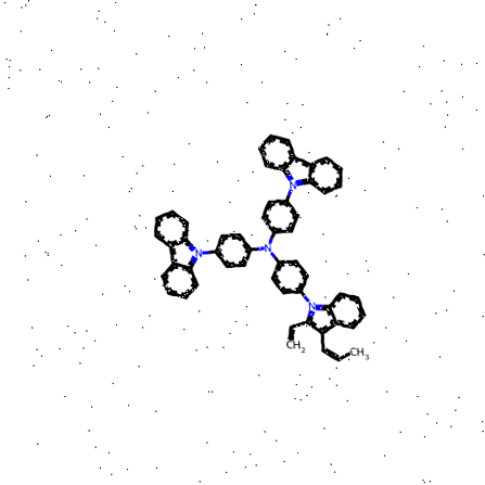 C=Cc1c(/C=C\C)c2ccccc2n1-c1ccc(N(c2ccc(-n3c4ccccc4c4ccccc43)cc2)c2ccc(-n3c4ccccc4c4ccccc43)cc2)cc1